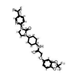 O=C(COc1ccc2c(c1)OC(F)(F)O2)NC1CCC(N2CCN(c3ccc(C(F)F)cn3)C2=O)CC1